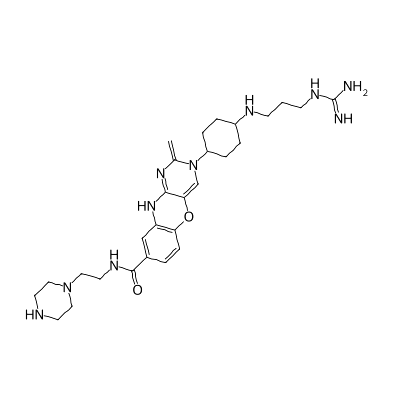 C=C1N=C2Nc3cc(C(=O)NCCN4CCNCC4)ccc3OC2=CN1C1CCC(NCCCNC(=N)N)CC1